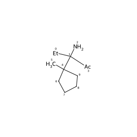 CCC(N)(C(C)=O)C1(C)CCCC1